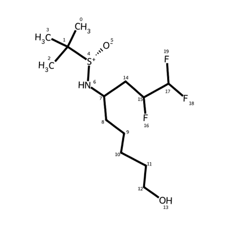 CC(C)(C)[S@+]([O-])NC(CCCCCO)CC(F)C(F)F